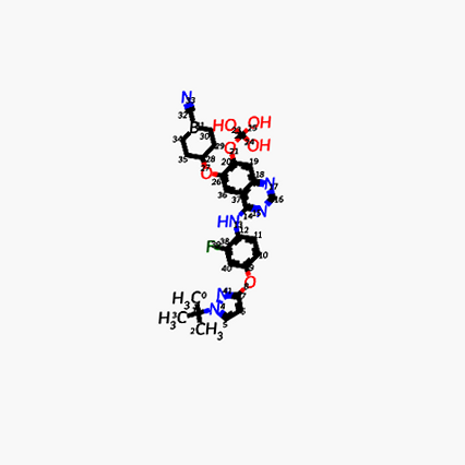 CC(C)(C)n1ccc(Oc2ccc(Nc3ncnc4cc(OC(O)(O)O)c(OC5CCB(C#N)CC5)cc34)c(F)c2)n1